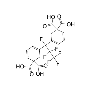 O=C(O)C1(C(=O)O)C=CC=C(C(F)(C2=CC=CC(C(=O)O)(C(=O)O)C2)C(F)(F)C(F)(F)F)C1